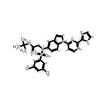 CC(C)(C)OC(=O)CN(c1ccc2c(ccn2-c2ccnc(-c3nccs3)n2)c1)S(=O)(=O)c1cc(Cl)cc(Cl)c1